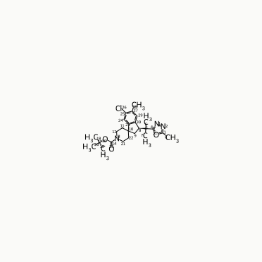 Cc1nnc(C(C)(C)[C@H]2CC3(CCN(C(=O)OC(C)(C)C)CC3)c3cc(Cl)c(C)cc32)o1